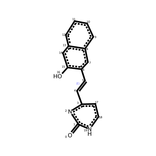 O=c1nc(/C=C/c2cc3ccccc3cc2O)cc[nH]1